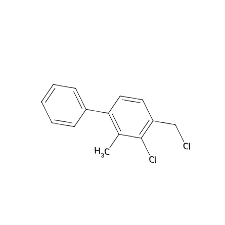 Cc1c(-c2ccccc2)ccc(CCl)c1Cl